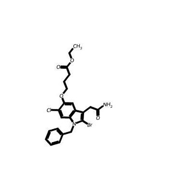 CCOC(=O)CCCOc1cc2c(CC(N)=O)c(Br)n(Cc3ccccc3)c2cc1Cl